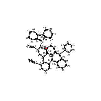 N#Cc1cc(-c2c(C#N)cccc2-c2c3ccccc3c(-c3ccccc3)c3ccccc23)ccc1-n1c2ccccc2c2ccccc21